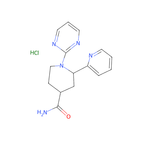 Cl.NC(=O)C1CCN(c2ncccn2)C(c2ccccn2)C1